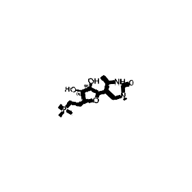 C=C1NC(=O)N(C)C=C1C1OC(CCP(=C)(C)C)[C@@H](O)[C@H]1O